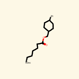 CCCCCCCCCCCCCCCC(=O)OCC1CCC(C(C)C)CC1